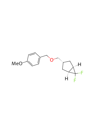 COc1ccc(COC[C@@H]2C[C@@H]3[C@H](C2)C3(F)F)cc1